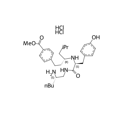 CCCC[C@H](N)CNC(=O)[C@H](Cc1ccc(O)cc1)N[C@H](CCc1ccc(C(=O)OC)cc1)CC(C)C.Cl.Cl